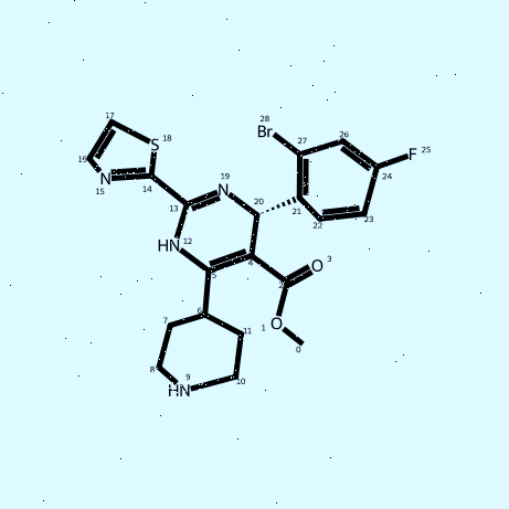 COC(=O)C1=C(C2CCNCC2)NC(c2nccs2)=N[C@@H]1c1ccc(F)cc1Br